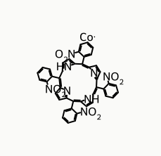 O=[N+]([O-])c1ccccc1-c1c2nc(c(-c3ccccc3[N+](=O)[O-])c3ccc([nH]3)c(-c3ccccc3[N+](=O)[O-])c3nc(c(-c4ccccc4[N+](=O)[O-])c4ccc1[nH]4)C=C3)C=C2.[Co]